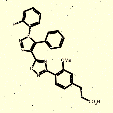 COc1cc(CCC(=O)O)ccc1-c1noc(-c2nnn(-c3ccccc3F)c2-c2ccccc2)n1